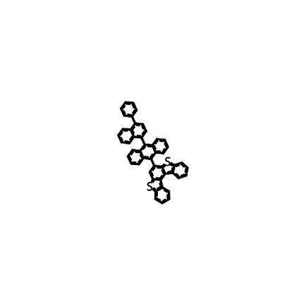 c1ccc(-c2ccc(-c3c4ccccc4c(-c4cc5sc6ccccc6c5c5c4sc4ccccc45)c4ccccc34)c3ccccc23)cc1